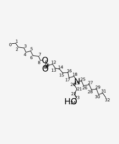 CCCCCCCCCOC(=O)CCCCCCCN(CCCCO)CCCCCCCC